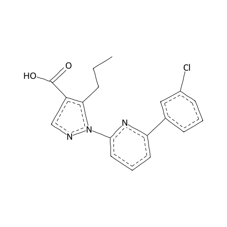 CCCc1c(C(=O)O)cnn1-c1cccc(-c2cccc(Cl)c2)n1